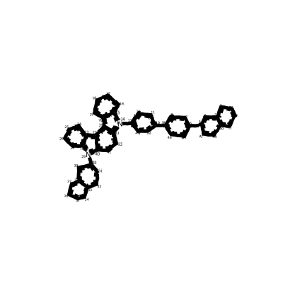 c1ccc2cc(-c3ccc(-c4ccc(-n5c6ccccc6c6c7c8ccccc8n(-c8ccc9ccccc9c8)c7ccc65)cc4)cc3)ccc2c1